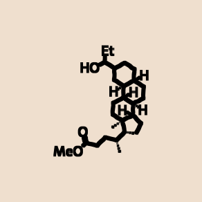 CCC(O)C1CC[C@@H]2CC[C@@H]3[C@H](CC[C@]4(C)[C@@H]([C@H](C)CCC(=O)OC)CC[C@@H]34)[C@H]2C1